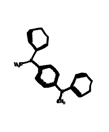 CN(C1=CCCC=C1)c1ccc(N(C)C2=CCCC=C2)cc1